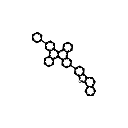 c1ccc(-c2ccc3c(c2)c2ccccc2c2c4ccc(-c5ccc6c(c5)oc5c7ccccc7ccc65)cc4c4ccccc4c32)cc1